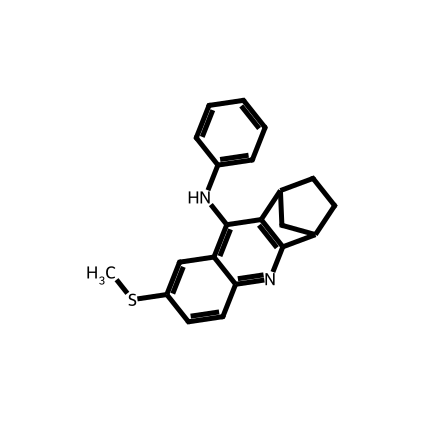 CSc1ccc2nc3c(c(Nc4ccccc4)c2c1)C1CCC3C1